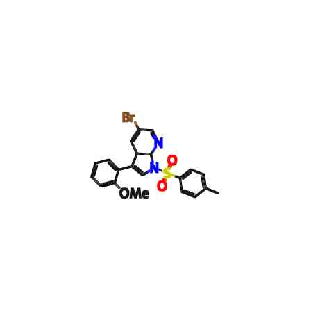 COc1ccccc1C1=CN(S(=O)(=O)c2ccc(C)cc2)C2N=CC(Br)=CC12